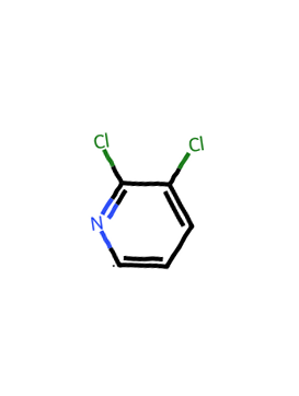 Clc1cc[c]nc1Cl